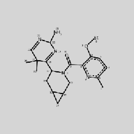 CCOc1ccc(C)nc1C(=O)N1CC2CC2CC1C1=NC(N)N=CC1(C)C